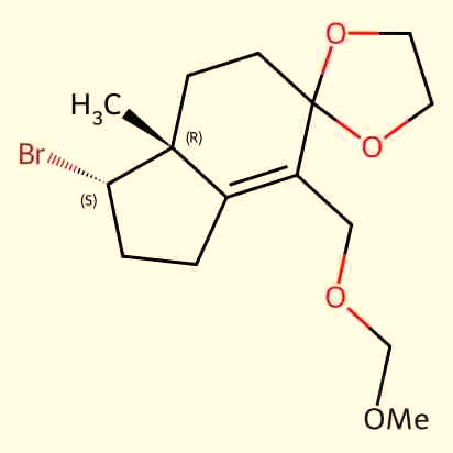 COCOCC1=C2CC[C@H](Br)[C@]2(C)CCC12OCCO2